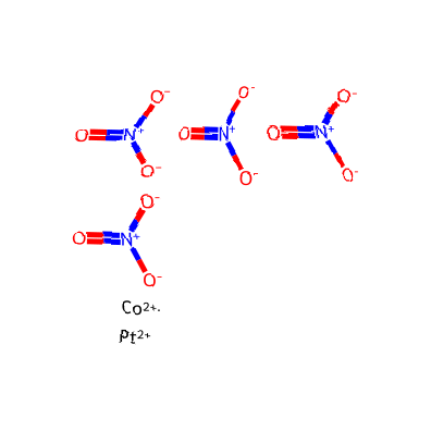 O=[N+]([O-])[O-].O=[N+]([O-])[O-].O=[N+]([O-])[O-].O=[N+]([O-])[O-].[Co+2].[Pt+2]